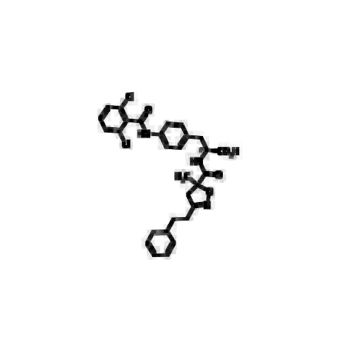 CC1(C(=O)N[C@@H](Cc2ccc(NC(=O)c3c(Cl)cccc3Cl)cc2)C(=O)O)CC(CCc2ccccc2)=NO1